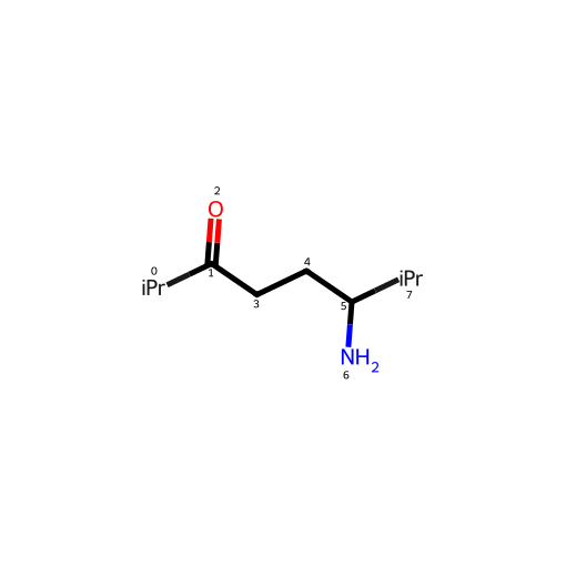 CC(C)C(=O)CCC(N)C(C)C